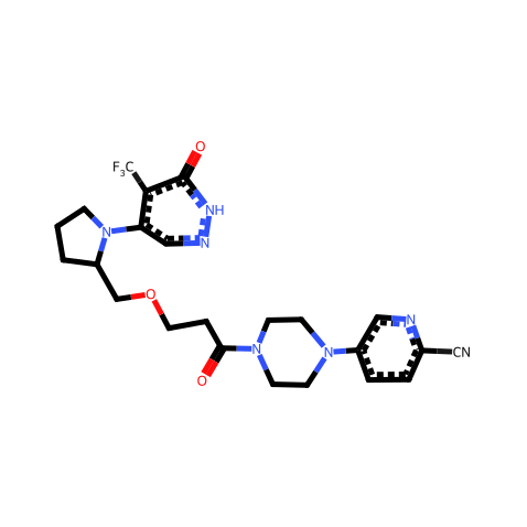 N#Cc1ccc(N2CCN(C(=O)CCOCC3CCCN3c3cn[nH]c(=O)c3C(F)(F)F)CC2)cn1